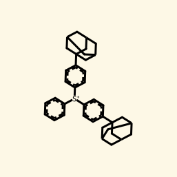 c1ccc([S+](c2ccc(C34CC5CC(CC(C5)C3)C4)cc2)c2ccc(C34CC5CC(CC(C5)C3)C4)cc2)cc1